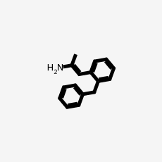 C/C(N)=C\c1ccccc1Cc1ccccc1